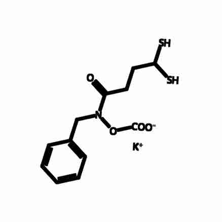 O=C([O-])ON(Cc1ccccc1)C(=O)CCC(S)S.[K+]